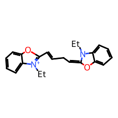 CCN1C(=CCC=Cc2oc3ccccc3[n+]2CC)Oc2ccccc21